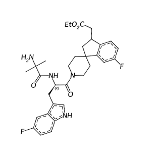 CCOC(=O)CC1CC2(CCN(C(=O)[C@@H](Cc3c[nH]c4ccc(F)cc34)NC(=O)C(C)(C)N)CC2)c2cc(F)ccc21